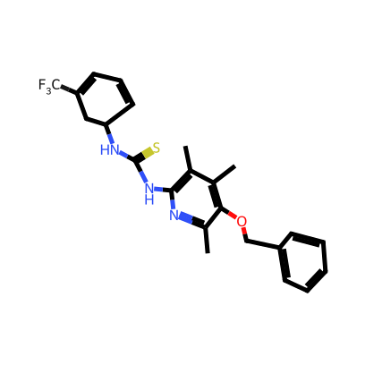 Cc1nc(NC(=S)NC2C=CC=C(C(F)(F)F)C2)c(C)c(C)c1OCc1ccccc1